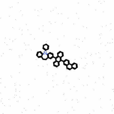 C1=CC(N2c3ccccc3CCc3cc(-c4c5ccccc5c(-c5ccc6c(ccc7ccccc76)c5)c5ccccc45)ccc32)=CCC1